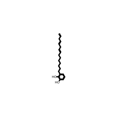 C=CCC=CCC=CCCCCCCCc1cccc(O)c1O